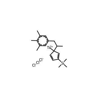 Cc1cc(CC(C)[C]2([Ti+3])C=CC([Si](C)(C)C)=C2)cc(C)c1C.[Cl-].[Cl-].[Cl-]